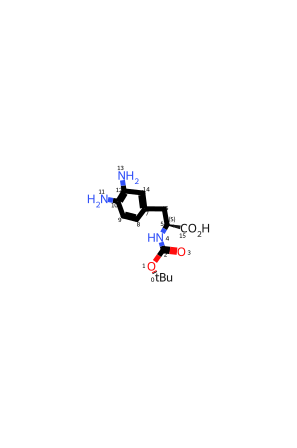 CC(C)(C)OC(=O)N[C@@H](Cc1ccc(N)c(N)c1)C(=O)O